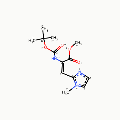 COC(=O)/C(=C\c1nccn1C)NC(=O)OC(C)(C)C